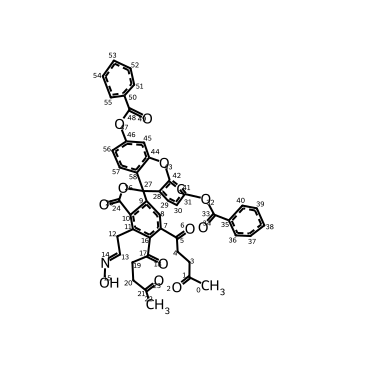 CC(=O)CCC(=O)c1cc2c(c(CC=NO)c1C(=O)CCC(C)=O)C(=O)OC21c2ccc(OC(=O)c3ccccc3)cc2Oc2cc(OC(=O)c3ccccc3)ccc21